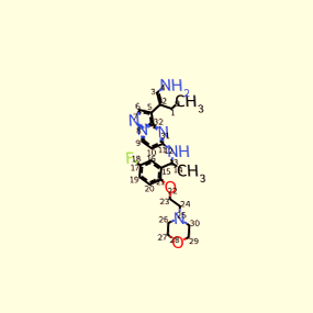 CC/C(=C\N)c1cnn2ccc(NC(C)c3cc(F)ccc3OCCN3CCOCC3)nc12